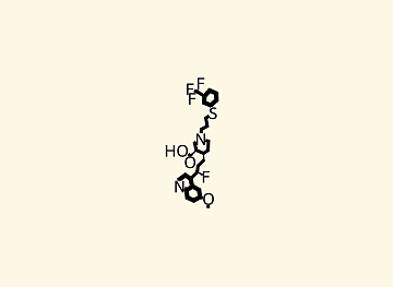 COc1ccc2nccc([C@H](F)CC[C@@H]3CCN(CCCSc4cccc(C(F)(F)F)c4)C[C@@H]3C(=O)O)c2c1